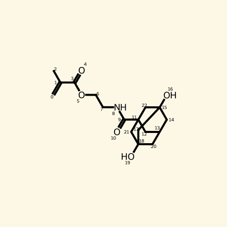 C=C(C)C(=O)OCCNC(=O)C12CC3CC(O)(CC(O)(C3)C1)C2